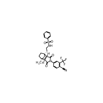 C[C@]12CC[C@](CCNS(=O)(=O)c3ccccc3)(O1)[C@@H]1C(=O)N(c3ccc(C#N)c(C(F)(F)F)c3)C(=O)[C@@H]12